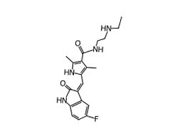 CCNCCNC(=O)c1c(C)[nH]c(/C=C2\C(=O)Nc3ccc(F)cc32)c1C